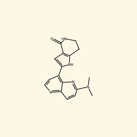 CN(C)c1ccc2nccc(-c3cc4c([nH]3)CCNC4=O)c2n1